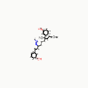 CCCCCCCCCCCCC(C#N)(CCCC(CCc1cccc(O)c1)N=NC)c1cccc(O)c1